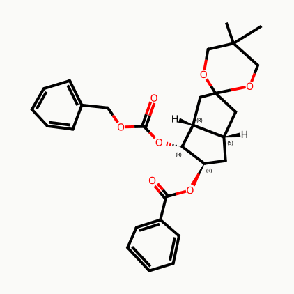 CC1(C)COC2(C[C@@H]3C[C@@H](OC(=O)c4ccccc4)[C@H](OC(=O)OCc4ccccc4)[C@@H]3C2)OC1